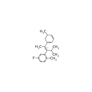 C/C(C1=CC=CC(C)C1)=C(\c1cc(F)ccc1C)C(C)C